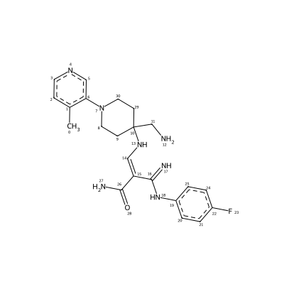 Cc1ccncc1N1CCC(CN)(N/C=C(\C(=N)Nc2ccc(F)cc2)C(N)=O)CC1